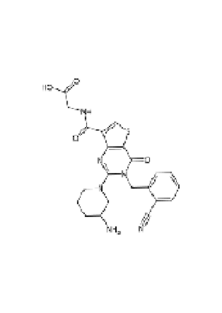 N#Cc1ccccc1Cn1c(N2CCCC(N)C2)nc2c(C(=O)NCC(=O)O)csc2c1=O